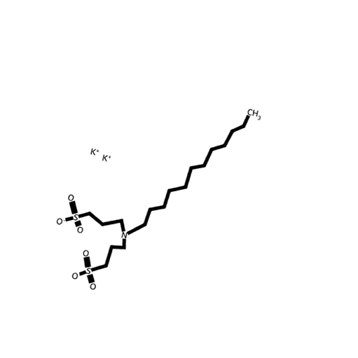 CCCCCCCCCCCCN(CCCS(=O)(=O)[O-])CCCS(=O)(=O)[O-].[K+].[K+]